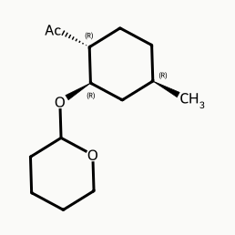 CC(=O)[C@@H]1CC[C@@H](C)C[C@H]1OC1CCCCO1